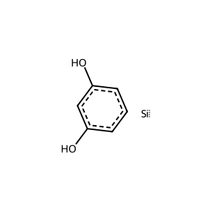 Oc1cccc(O)c1.[Si]